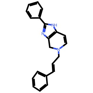 C(=Cc1ccccc1)CN1C=Cc2[nH]c(-c3ccccc3)nc2C1